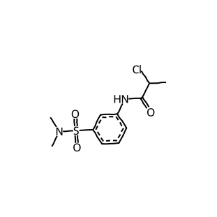 CC(Cl)C(=O)Nc1cccc(S(=O)(=O)N(C)C)c1